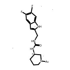 CC(=O)N1CCC[C@@H](NC(=O)NCc2cc3cc(F)c(F)cc3[nH]2)C1